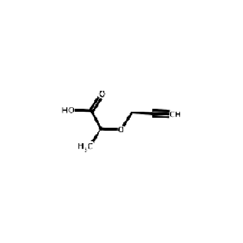 C#CCO[C@@H](C)C(=O)O